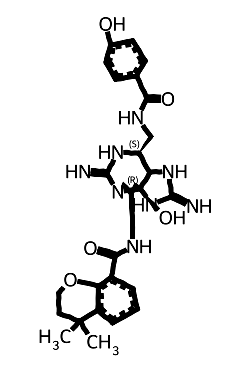 CC1(C)CCOc2c(C(=O)NC3CN4C(=N)N[C@@H](CNC(=O)c5ccc(O)cc5)C5NC(=N)NC54[C@@H]3O)cccc21